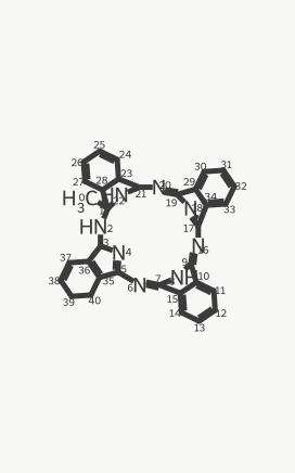 CC12NC3N=C(/N=c4\[nH]/c(c5ccccc45)=N\C4=NC(=N\C(N1)C1C=CC=CC12)/c1ccccc14)C1=C3C=CCC1